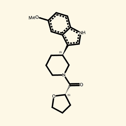 COc1ccc2[nH]cc([C@@H]3CCCN(C(=O)[C@@H]4CCCO4)C3)c2c1